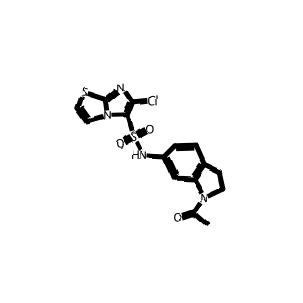 CC(=O)N1CCc2ccc(NS(=O)(=O)c3c(Cl)nc4sccn34)cc21